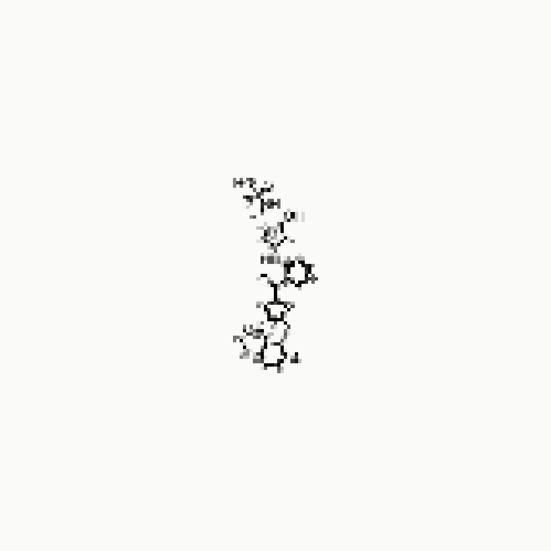 Cc1sc(C(=O)c2cncnc2N[C@@H]2C[C@H](CNS(=O)(=O)O)[C@@H](O)C2)cc1[C@H]1OCCc2ccc(Cl)cc21